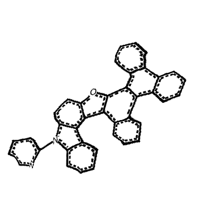 c1ccc(-n2c3ccccc3c3c4c(ccc32)oc2c3c5ccccc5c5ccccc5c3c3ccccc3c24)nc1